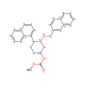 CC(C)(C)OC(=O)ON1CCC(c2cccc3ccccc23)C(OCc2ccc3ccccc3c2)C1